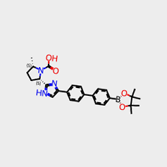 C[C@H]1CC[C@@H](c2nc(-c3ccc(-c4ccc(B5OC(C)(C)C(C)(C)O5)cc4)cc3)c[nH]2)N1C(=O)O